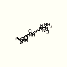 CC(C)CS(=O)(=O)Nc1ccc(CNC(=O)OCCCCn2cnc3c(N)nc(Cl)nc32)cc1